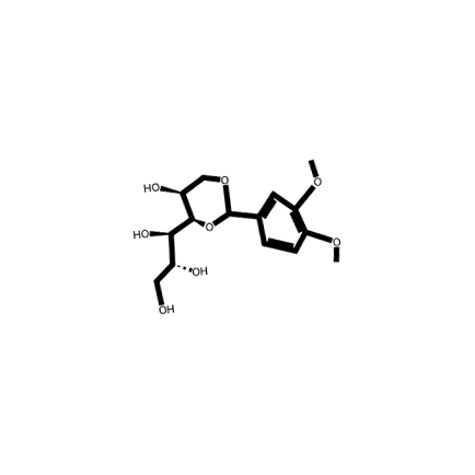 COc1ccc(C2OC[C@H](O)[C@H]([C@H](O)[C@H](O)CO)O2)cc1OC